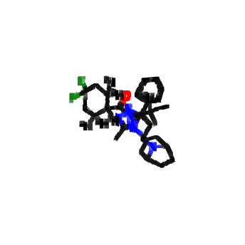 [2H]C(C)(C)c1nnc(C)n1C1CC2CCC(C1)N2CCC(NC(=O)C1([2H])C([2H])([2H])CC(F)(F)CC1([2H])[2H])c1ccccc1